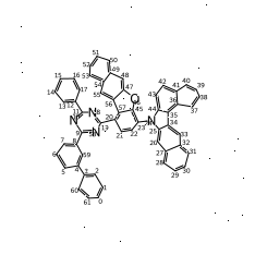 c1ccc(-c2cccc(-c3nc(-c4ccccc4)nc(-c4ccc(-n5c6cc7ccccc7cc6c6c7ccccc7ccc65)c5oc6cc7ccccc7cc6c45)n3)c2)cc1